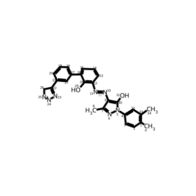 Cc1ccc(-n2nc(C)c(/N=N/c3cccc(-c4cccc(C5=NN=NC5)c4)c3O)c2O)cc1C